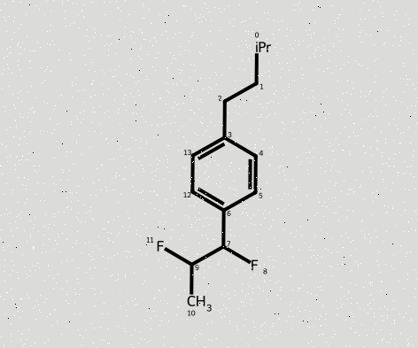 CC(C)CCc1ccc(C(F)C(C)F)cc1